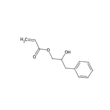 C=CC(=O)OCC(O)Cc1cc[c]cc1